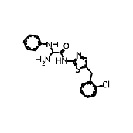 NC(Nc1ccccc1)C(=O)Nc1ncc(Cc2ccccc2Cl)s1